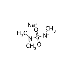 C[N-]S(=O)(=O)N(C)C.[Na+]